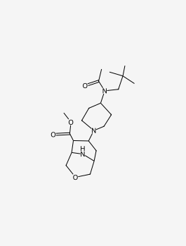 COC(=O)C1C2COCC(CC1N1CCC(N(CC(C)(C)C)C(C)=O)CC1)N2